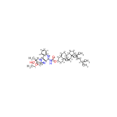 CCOCc1nc2c(NC(=O)OC3CCC4(C)C(=CCC5C4CCC4(C)C(C(C)CCCC(C)C)CCC54)C3)nc3ccccc3c2n1CC(C)(C)O